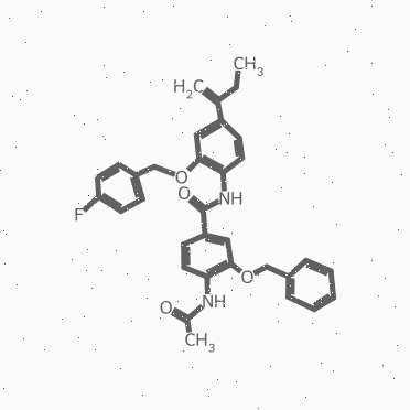 C=C(CC)c1ccc(NC(=O)c2ccc(NC(C)=O)c(OCc3ccccc3)c2)c(OCc2ccc(F)cc2)c1